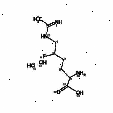 CC(=N)NCC(F)CCC(N)C(=O)O.Cl.Cl